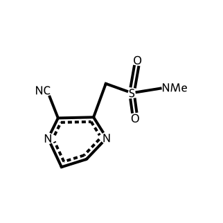 CNS(=O)(=O)Cc1nccnc1C#N